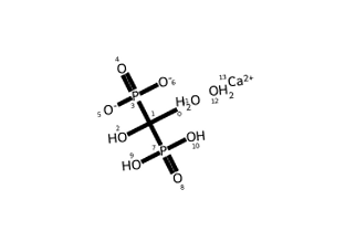 CC(O)(P(=O)([O-])[O-])P(=O)(O)O.O.O.[Ca+2]